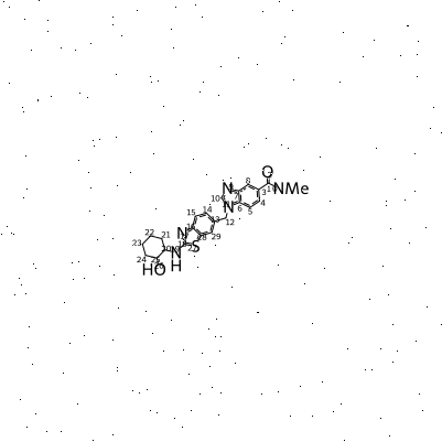 CNC(=O)c1ccc2c(c1)ncn2Cc1ccc2nc(NC3CCCCC3O)sc2c1